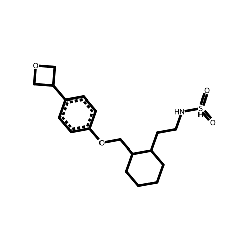 O=[SH](=O)NCCC1CCCCC1COc1ccc(C2COC2)cc1